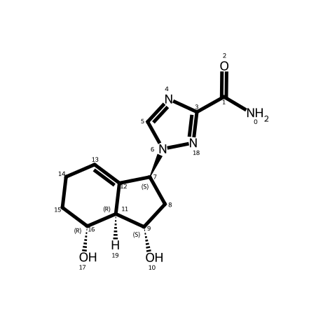 NC(=O)c1ncn([C@H]2C[C@H](O)[C@@H]3C2=CCC[C@H]3O)n1